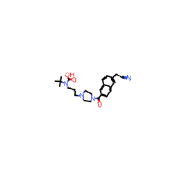 CC(C)(C)N(CCCN1CCN(C(=O)c2ccc3cc(CC#N)ccc3c2)CC1)C(=O)O